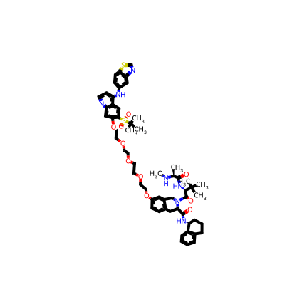 CN[C@@H](C)C(=O)N[C@H](C(=O)N1Cc2cc(OCCOCCOCCOCCOc3cc4nccc(Nc5ccc6scnc6c5)c4cc3S(=O)(=O)C(C)(C)C)ccc2CC1C(=O)N[C@@H]1CCCc2ccccc21)C(C)(C)C